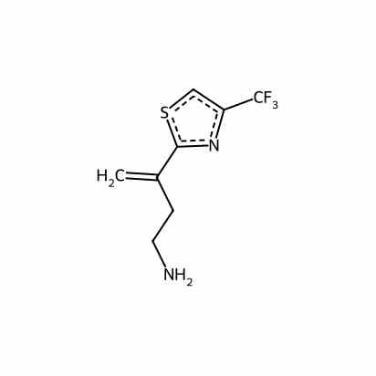 C=C(CCN)c1nc(C(F)(F)F)cs1